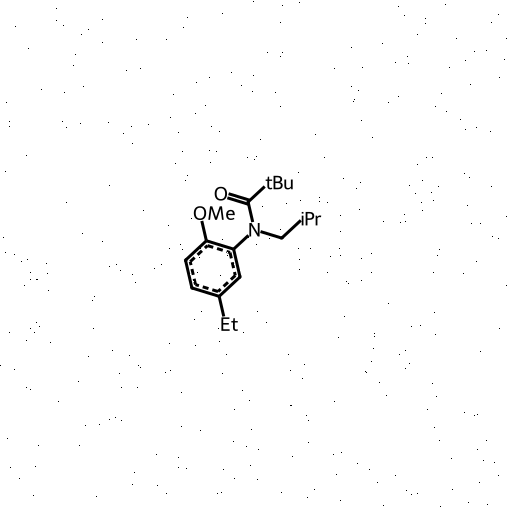 CCc1ccc(OC)c(N(CC(C)C)C(=O)C(C)(C)C)c1